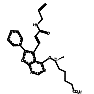 C=CCNC(=O)C=Cc1c(-c2ccccc2)oc2ncnc(O[C@H](C)CCCCC(=O)O)c12